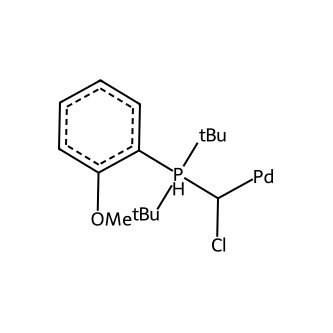 COc1ccccc1[PH]([CH](Cl)[Pd])(C(C)(C)C)C(C)(C)C